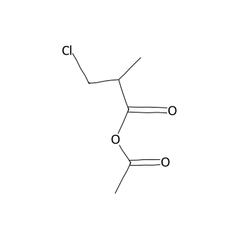 CC(=O)OC(=O)C(C)CCl